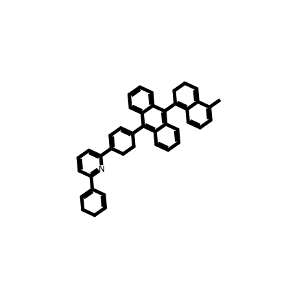 Cc1cccc2c1=CCCC=2c1c2ccccc2c(C2=CC=C(c3cccc(C4=CCCC=C4)n3)CC2)c2ccccc12